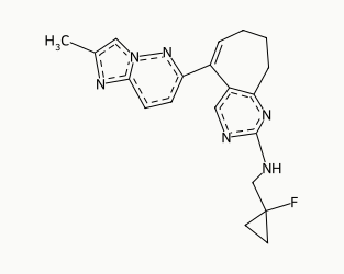 Cc1cn2nc(C3=CCCCc4nc(NCC5(F)CC5)ncc43)ccc2n1